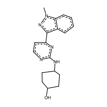 Cn1nc(-c2ccnc(NC3CCC(O)CC3)n2)c2ccccc21